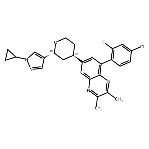 Cc1nc2nc([C@@H]3CCO[C@@H](c4cnn(C5CC5)c4)C3)cc(-c3ccc(Cl)cc3F)c2nc1C